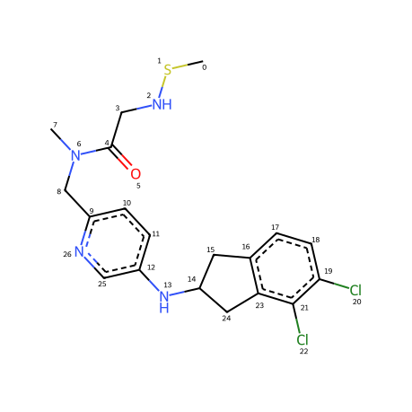 CSNCC(=O)N(C)Cc1ccc(NC2Cc3ccc(Cl)c(Cl)c3C2)cn1